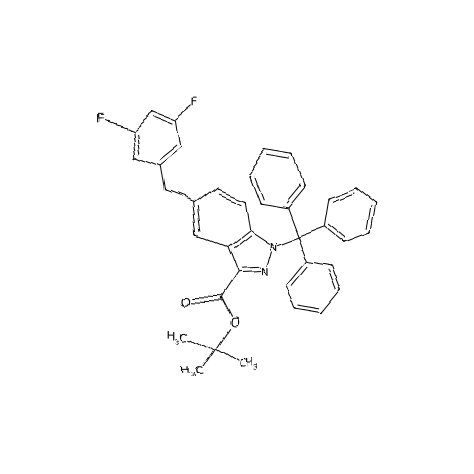 CC(C)(C)OC(=O)c1nn(C(c2ccccc2)(c2ccccc2)c2ccccc2)c2ccc(Cc3cc(F)cc(F)c3)cc12